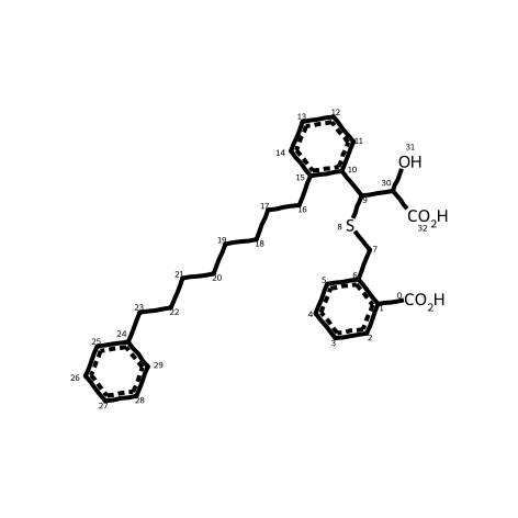 O=C(O)c1ccccc1CSC(c1ccccc1CCCCCCCCc1ccccc1)C(O)C(=O)O